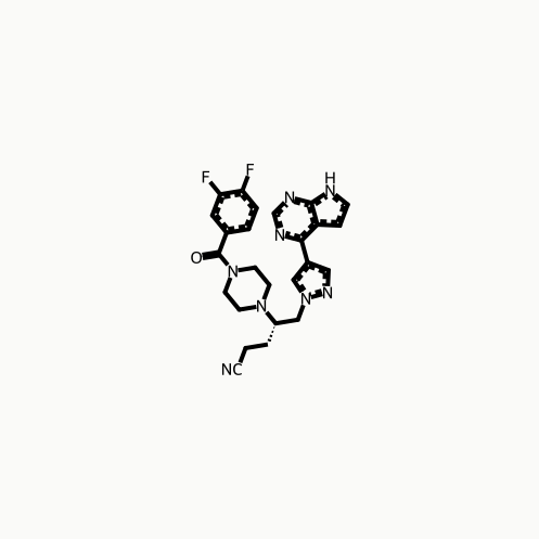 N#CCC[C@@H](Cn1cc(-c2ncnc3[nH]ccc23)cn1)N1CCN(C(=O)c2ccc(F)c(F)c2)CC1